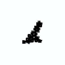 O=C(c1ccc(Br)o1)N(C(=O)c1ccc(Br)o1)c1ccc(-c2ccc(-c3ncco3)nc2)cn1